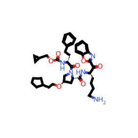 NCCCC[C@H](NC(=O)[C@@H]1C[C@@H](OCCC2CCCC2)CN1C(=O)[C@@H](CCc1ccccc1)NC(=O)OCC1CC1)C(=O)c1nc2ccccc2o1